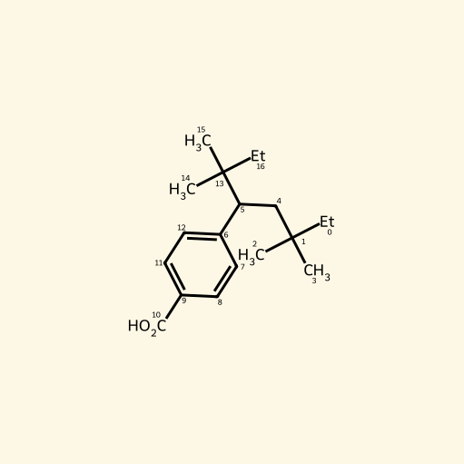 CCC(C)(C)CC(c1ccc(C(=O)O)cc1)C(C)(C)CC